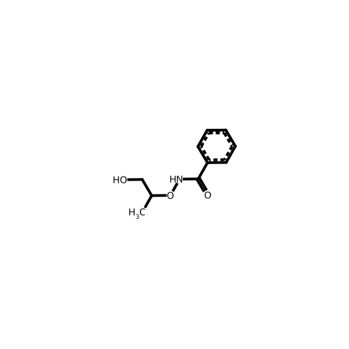 CC(CO)ONC(=O)c1ccccc1